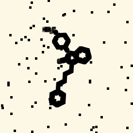 O=C(O)N1CCC(n2c(=O)n(CCCCc3ccccc3)c3ccccc32)CC1